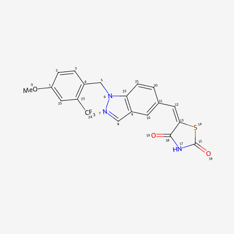 COc1ccc(Cn2ncc3cc(C=C4SC(=O)NC4=O)ccc32)c(C(F)(F)F)c1